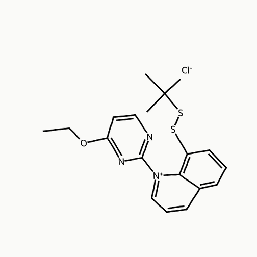 CCOc1ccnc(-[n+]2cccc3cccc(SSC(C)(C)C)c32)n1.[Cl-]